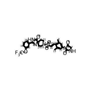 Cc1cc(N2C(=O)CNC2=O)cc(C)c1C=CS(=O)(=O)N1CCC2(CC1)N=C(c1cccc(OC(F)(F)F)c1)NC2=O